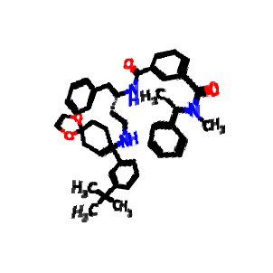 C[C@H](c1ccccc1)N(C)C(=O)c1cccc(C(=O)N[C@H](CCNC2(c3cccc(C(C)(C)C)c3)CCC3(CC2)OCCO3)Cc2ccccc2)c1